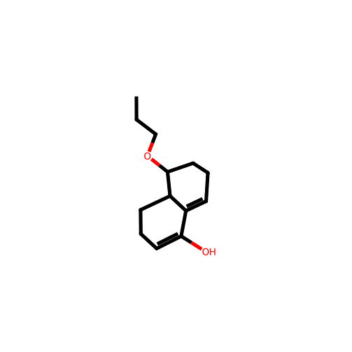 CCCOC1CCC=C2C(O)=CCCC21